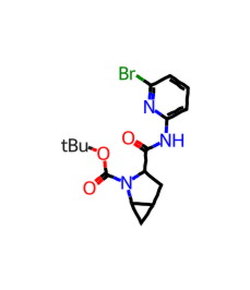 CC(C)(C)OC(=O)N1C(C(=O)Nc2cccc(Br)n2)CC2CC21